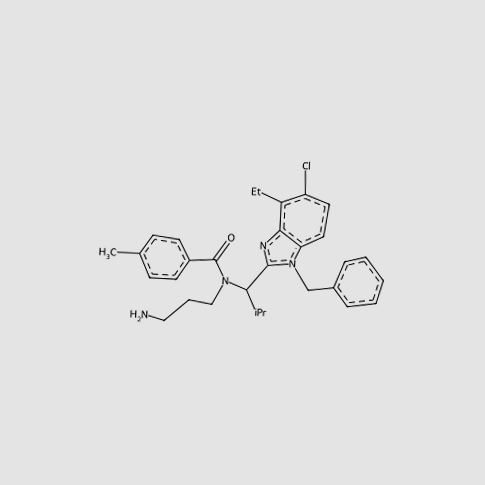 CCc1c(Cl)ccc2c1nc(C(C(C)C)N(CCCN)C(=O)c1ccc(C)cc1)n2Cc1ccccc1